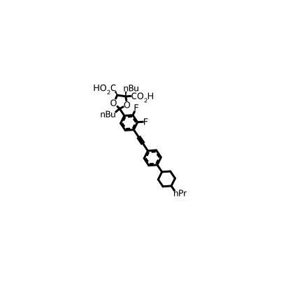 CCCCC1(c2ccc(C#Cc3ccc(C4CCC(CCC)CC4)cc3)c(F)c2F)O[C@@H](C(=O)O)[C@](CCCC)(C(=O)O)O1